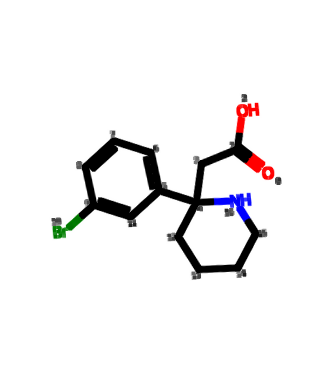 O=C(O)CC1(c2cccc(Br)c2)CCCCN1